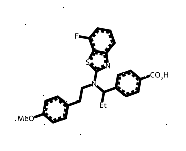 CCC(c1ccc(C(=O)O)cc1)N(CCc1ccc(OC)cc1)c1nc2cccc(F)c2s1